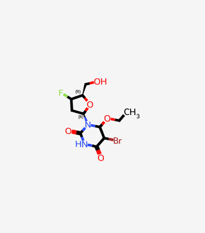 CCOC1C(Br)C(=O)NC(=O)N1[C@H]1CC(F)[C@@H](CO)O1